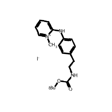 C[n+]1ccccc1Nc1ccc(CCNC(=O)OC(C)(C)C)cc1.[I-]